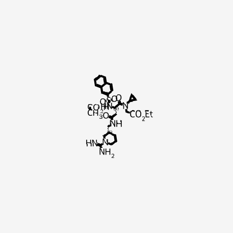 CC(=O)O.CCOC(=O)CN(C(=O)[C@H](CC(=O)NC[C@@H]1CCCN(C(=N)N)C1)NS(=O)(=O)c1ccc2ccccc2c1)C1CC1